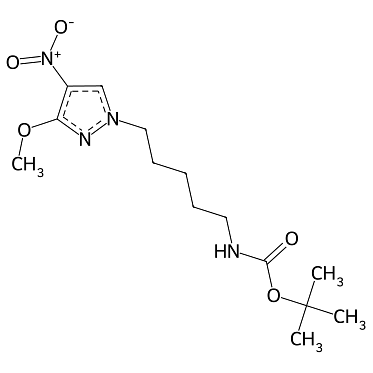 COc1nn(CCCCCNC(=O)OC(C)(C)C)cc1[N+](=O)[O-]